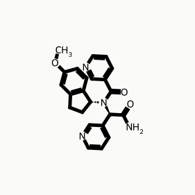 COc1ccc2c(c1)CC[C@H]2N(C(=O)c1cccnc1)[C@@H](C(N)=O)c1cccnc1